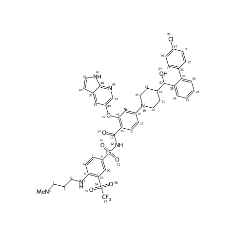 CNCCCNc1ccc(S(=O)(=O)NC(=O)c2ccc(N3CCC(C(O)c4ccccc4-c4ccc(Cl)cc4)CC3)cc2Oc2cnc3[nH]ccc3c2)cc1S(=O)(=O)C(F)(F)F